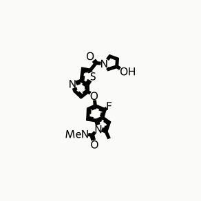 CNC(=O)n1c(C)cc2c(F)c(Oc3ccnc4cc(C(=O)N5CCC(O)C5)sc34)ccc21